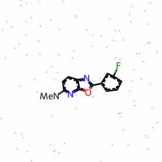 CNc1ccc2nc(-c3cccc(F)c3)oc2n1